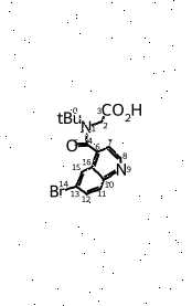 CC(C)(C)N(CC(=O)O)C(=O)c1ccnc2ccc(Br)cc12